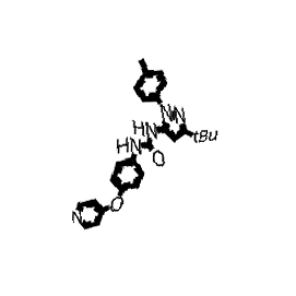 Cc1ccc(-n2nc(C(C)(C)C)cc2NC(=O)Nc2ccc(Oc3ccncc3)cc2)cc1